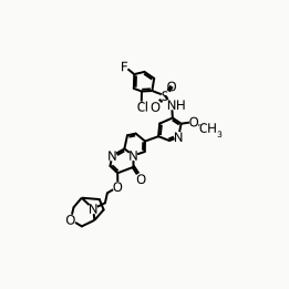 COc1ncc(-c2ccc3ncc(OCCN4C5CCC4COC5)c(=O)n3c2)cc1NS(=O)(=O)c1ccc(F)cc1Cl